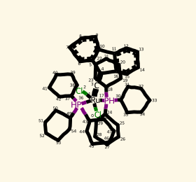 [Cl][Ru]([Cl])(=[C]=C1c2ccccc2-c2ccccc21)([PH](C1CCCCC1)(C1CCCCC1)C1CCCCC1)[PH](C1CCCCC1)(C1CCCCC1)C1CCCCC1